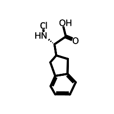 O=C(O)[C@@H](NCl)C1Cc2ccccc2C1